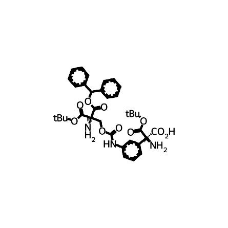 CC(C)(C)OC(=O)[C@@](N)(COC(=O)Nc1cccc([C@@](N)(C(=O)O)C(=O)OC(C)(C)C)c1)C(=O)OC(c1ccccc1)c1ccccc1